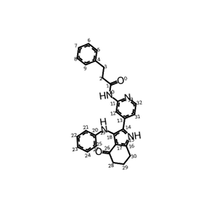 O=C(CCc1ccccc1)Nc1cc(-c2[nH]c3c(c2Nc2ccccc2)C(=O)CCC3)ccn1